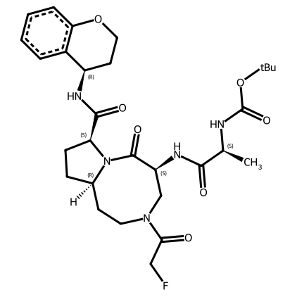 C[C@H](NC(=O)OC(C)(C)C)C(=O)N[C@H]1CN(C(=O)CF)CC[C@H]2CC[C@@H](C(=O)N[C@@H]3CCOc4ccccc43)N2C1=O